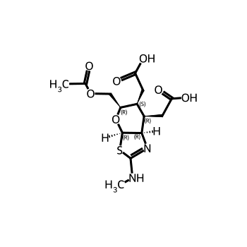 CNC1=N[C@@H]2[C@H](CC(=O)O)[C@H](CC(=O)O)[C@H](COC(C)=O)O[C@@H]2S1